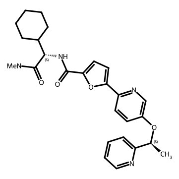 CNC(=O)[C@@H](NC(=O)c1ccc(-c2ccc(O[C@@H](C)c3ccccn3)cn2)o1)C1CCCCC1